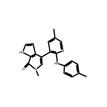 Cc1cnc(Nc2ccc(F)cc2)c(-c2cn(C)c(=O)c3[nH]ccc23)c1